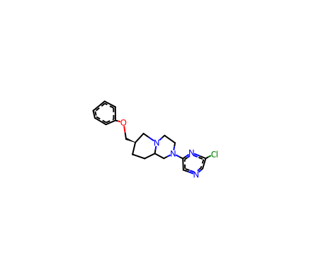 Clc1cncc(N2CCN3C[C@H](COc4ccccc4)CCC3C2)n1